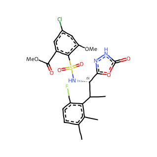 COC(=O)c1cc(Cl)cc(OC)c1S(=O)(=O)N[C@H](c1n[nH]c(=O)o1)C(C)c1c(F)ccc(C)c1C